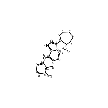 COC1CCCCCC1c1nnc2c(Oc3cccc(Cl)c3C)cccn12